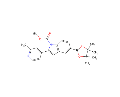 Cc1cc(-c2cc3cc(B4OC(C)(C)C(C)(C)O4)ccc3n2C(=O)OC(C)(C)C)ccn1